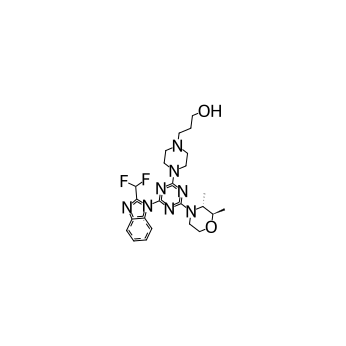 C[C@@H]1[C@@H](C)OCCN1c1nc(N2CCN(CCCO)CC2)nc(-n2c(C(F)F)nc3ccccc32)n1